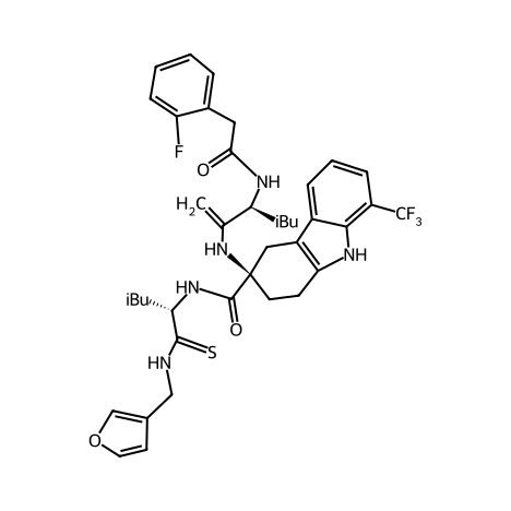 C=C(N[C@]1(C(=O)N[C@H](C(=S)NCc2ccoc2)C(C)CC)CCc2[nH]c3c(C(F)(F)F)cccc3c2C1)[C@@H](NC(=O)Cc1ccccc1F)C(C)CC